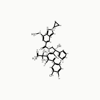 COc1cc(C(=O)NC[C@@](O)(c2ccccc2)c2cc(C(C)(C)C(N)=O)c(F)c(-c3cc(Cl)c(F)cc3F)n2)cc2cn(C3CC3)nc12